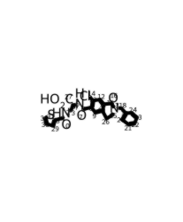 O=C(NC[C@H](NC(=O)c1cc2c(cc1Cl)C(=O)N(Cc1ccccc1)CC2)C(=O)O)c1cccs1